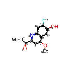 CCOc1cc(C(=O)OC)nc2cc(F)c(O)cc12